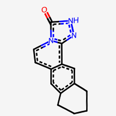 O=c1[nH]nc2c3cc4c(cc3ccn12)CCCC4